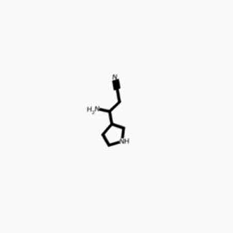 N#CCC(N)C1CCNC1